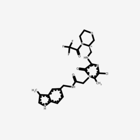 Cc1c[nH]c2ccc(CNC(=O)Cn3c(C)c(Cl)nc(NC[C@@H]4COCCN4C(=O)C(F)(F)F)c3=O)cc12